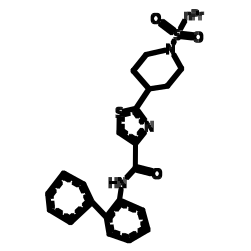 CCCS(=O)(=O)N1CCC(c2nc(C(=O)Nc3ccccc3-c3ccccc3)cs2)CC1